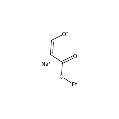 CCOC(=O)/C=C\[O-].[Na+]